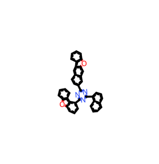 c1ccc2c(-c3nc(-c4ccc5cc6c(cc5c4)oc4ccccc46)nc(-c4cccc5oc6ccccc6c45)n3)cccc2c1